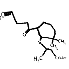 C=CCCC(=O)C1CCCC(C)(C)C1SC(C)COC